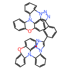 c1cc(-c2cn(-c3ccccc3N3c4ccccc4Oc4ccccc43)nn2)cc(-c2cn(-c3ccccc3N3c4ccccc4Oc4ccccc43)nn2)c1